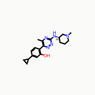 Cc1nc(N[C@@H]2CCCN(C)C2)nnc1-c1ccc(C2CC2)cc1O